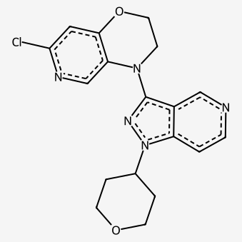 Clc1cc2c(cn1)N(c1nn(C3CCOCC3)c3ccncc13)CCO2